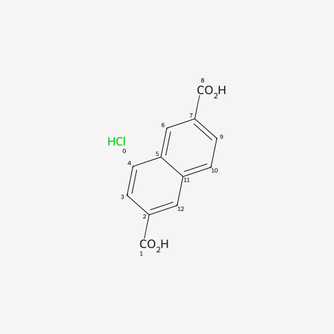 Cl.O=C(O)c1ccc2cc(C(=O)O)ccc2c1